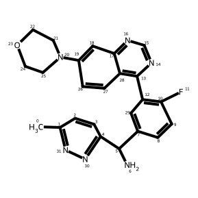 Cc1ccc(C(N)c2ccc(F)c(-c3ncnc4cc(N5CCOCC5)ccc34)c2)nn1